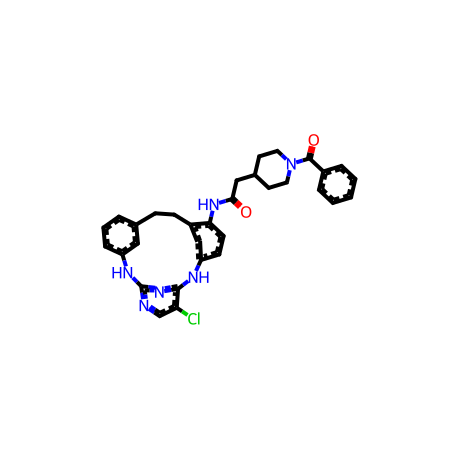 O=C(CC1CCN(C(=O)c2ccccc2)CC1)Nc1ccc2cc1CCc1cccc(c1)Nc1ncc(Cl)c(n1)N2